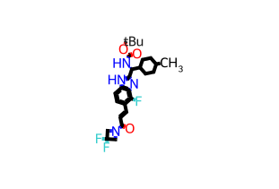 CC1CCC([C@H](NC(=O)OC(C)(C)C)c2nc3c(F)c(/C=C/C(=O)N4CC(F)(F)C4)ccc3[nH]2)CC1